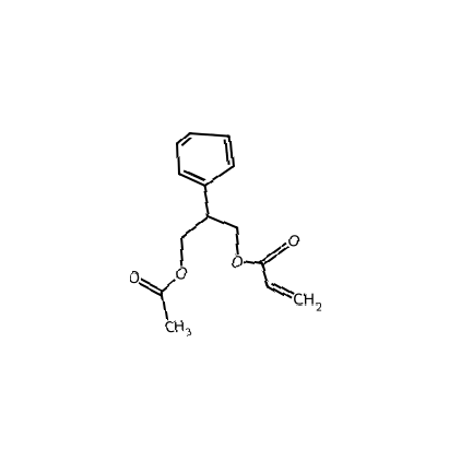 C=CC(=O)OCC(COC(C)=O)c1ccccc1